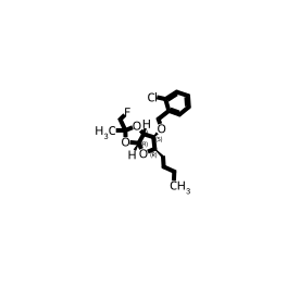 CCCC[C@H]1O[C@@H]2OC(C)(CF)O[C@@H]2[C@H]1OCc1ccccc1Cl